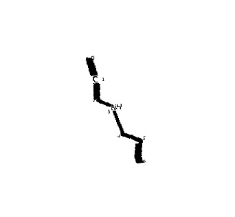 C=C=CNCC=C